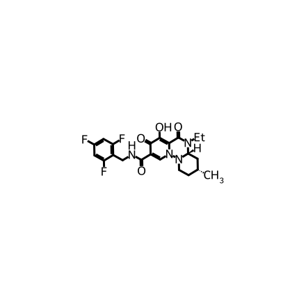 CCN1C(=O)c2c(O)c(=O)c(C(=O)NCc3c(F)cc(F)cc3F)cn2N2CC[C@@H](C)C[C@@H]12